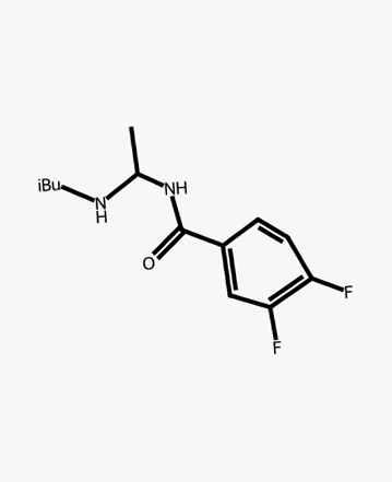 CCC(C)NC(C)NC(=O)c1ccc(F)c(F)c1